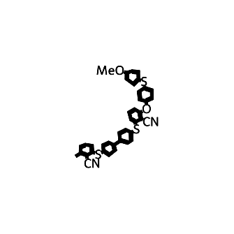 COc1ccc(Sc2ccc(Oc3cccc(Sc4ccc(-c5ccc(Sc6cccc(C)c6C#N)cc5)cc4)c3C#N)cc2)cc1